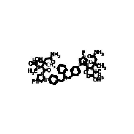 CN(C(=O)O)[C@H](C(=O)N1C[C@@H](F)C[C@H]1c1ccc(CN(Cc2ccc([C@@H]3C[C@H](F)CN3C(=O)[C@@H](N(C)C(=O)O)C(C)(C)CC(N)=O)cc2)c2ccccc2)cc1)C(C)(C)CC(N)=O